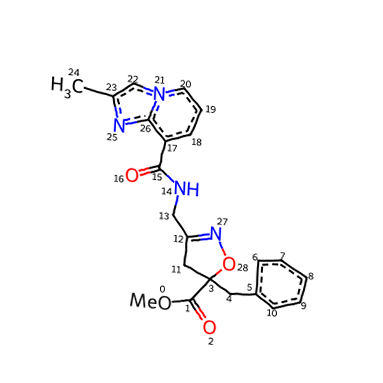 COC(=O)C1(Cc2ccccc2)CC(CNC(=O)c2cccn3cc(C)nc23)=NO1